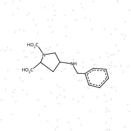 O=C(O)C1CC(NCc2ccccc2)CN1C(=O)O